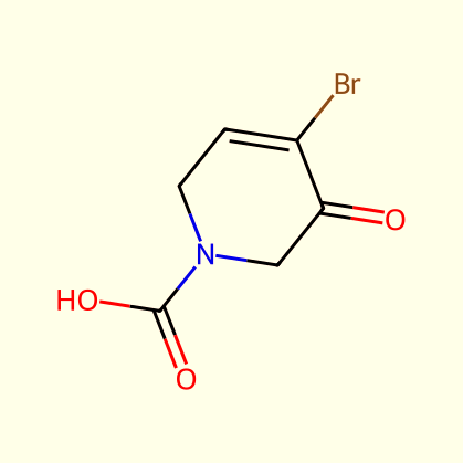 O=C1CN(C(=O)O)CC=C1Br